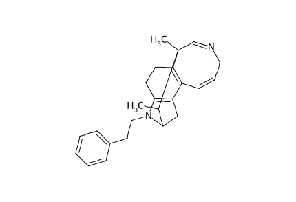 CC1C2CC3=C(CCC4=C3/C=C\C/N=C\C41C)N2CCc1ccccc1